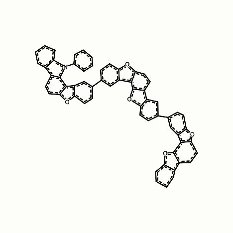 c1ccc(-n2c3ccccc3c3ccc4oc5ccc(-c6ccc7oc8ccc9c%10cc(-c%11ccc%12oc%13ccc%14c%15ccccc%15oc%14c%13c%12c%11)ccc%10oc9c8c7c6)cc5c4c32)cc1